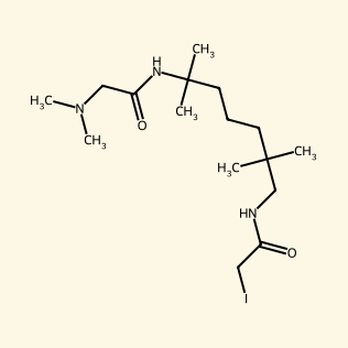 CN(C)CC(=O)NC(C)(C)CCCC(C)(C)CNC(=O)CI